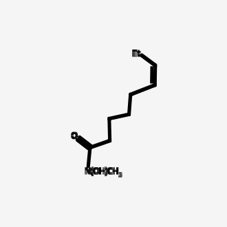 CC/C=C\CCCCC(=O)N(C)O